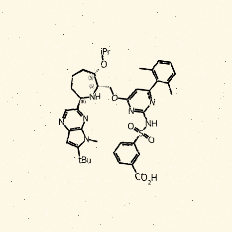 Cc1cccc(C)c1-c1cc(OC[C@@H]2N[C@@H](c3cnc4cc(C(C)(C)C)n(C)c4n3)CCC[C@@H]2OC(C)C)nc(NS(=O)(=O)c2cccc(C(=O)O)c2)n1